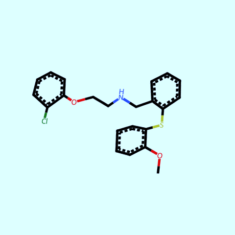 COc1ccccc1Sc1ccccc1CNCCOc1ccccc1Cl